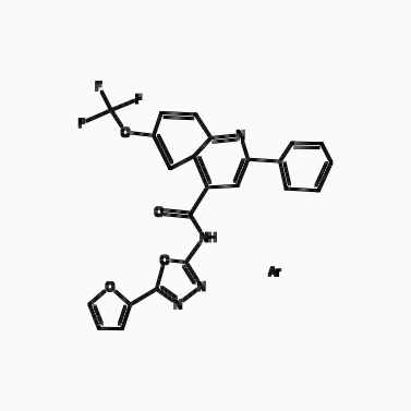 O=C(Nc1nnc(-c2ccco2)o1)c1cc(-c2ccccc2)nc2ccc(OC(F)(F)F)cc12.[Ar]